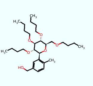 CCCCOC[C@H]1O[C@@H](c2cc(CO)ccc2C)[C@H](OCCCC)[C@@H](OCCCC)[C@@H]1OCCCC